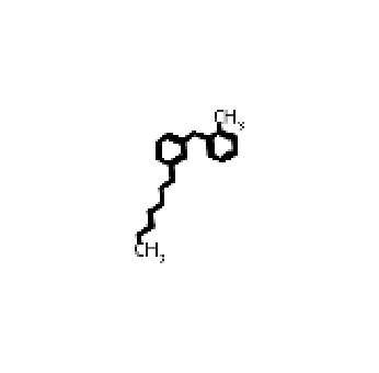 CCCCCCCc1cccc(Cc2ccccc2C)c1